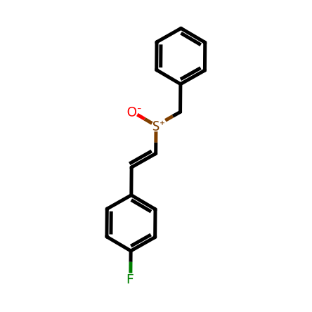 [O-][S+](C=Cc1ccc(F)cc1)Cc1ccccc1